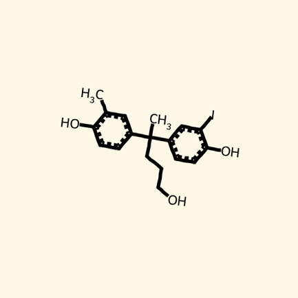 Cc1cc(C(C)(CCCO)c2ccc(O)c(I)c2)ccc1O